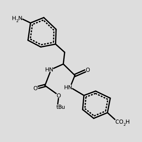 CC(C)(C)OC(=O)NC(Cc1ccc(N)cc1)C(=O)Nc1ccc(C(=O)O)cc1